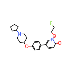 O=c1ccc(-c2ccc(OC3CCN(C4CCCC4)CC3)cc2)cn1OCCF